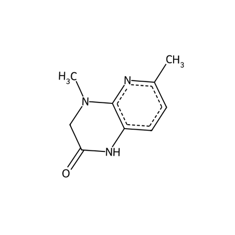 Cc1ccc2c(n1)N(C)CC(=O)N2